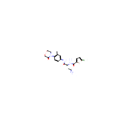 Cc1cc(NC(=O)[C@@H](CCN)NC(=O)c2ccc(Cl)s2)ccc1N1CCOCC1=O